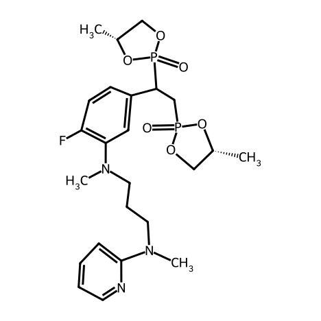 C[C@@H]1COP(=O)(CC(c2ccc(F)c(N(C)CCCN(C)c3ccccn3)c2)P2(=O)OC[C@@H](C)O2)O1